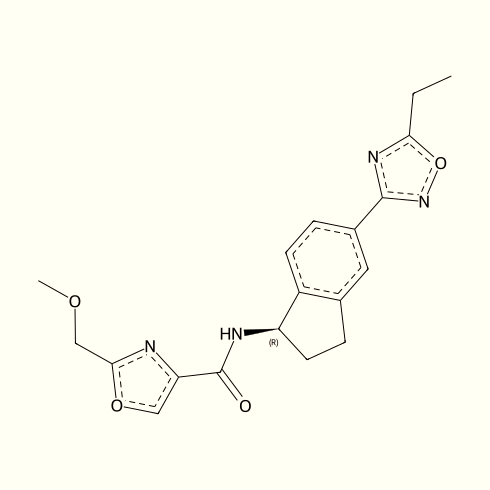 CCc1nc(-c2ccc3c(c2)CC[C@H]3NC(=O)c2coc(COC)n2)no1